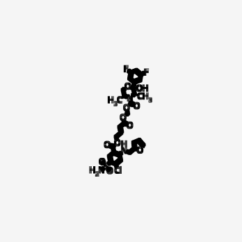 C[C@@H]1CO[C@@](O)(c2cc(F)cc(F)c2)[C@H](C)N1C(=O)OCOC(=O)/C=C/COC(=O)c1cc(S(N)(=O)=O)c(Cl)cc1NCc1ccco1